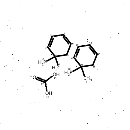 CC1(P)C=CC=CC1.CC1(P)C=CC=CC1.O=C(O)O